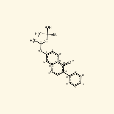 CCC(C)(O)OC(C)Oc1ccc2c(=O)c(-c3ccccc3)coc2c1